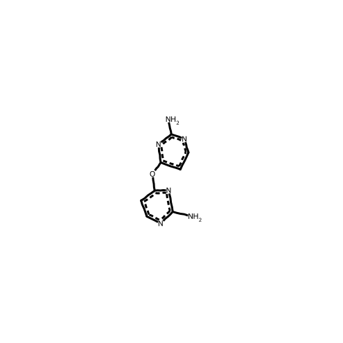 Nc1nccc(Oc2ccnc(N)n2)n1